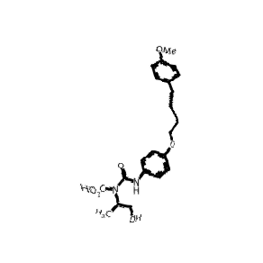 COc1ccc(CCCCOc2ccc(NC(=O)N(C(=O)O)C(C)CO)cc2)cc1